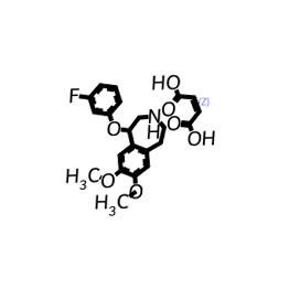 COc1cc2c(cc1OC)C(Oc1cccc(F)c1)CNCC2.O=C(O)/C=C\C(=O)O